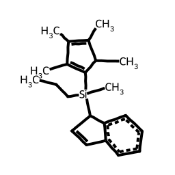 CCC[Si](C)(C1=C(C)C(C)=C(C)C1C)C1C=Cc2ccccc21